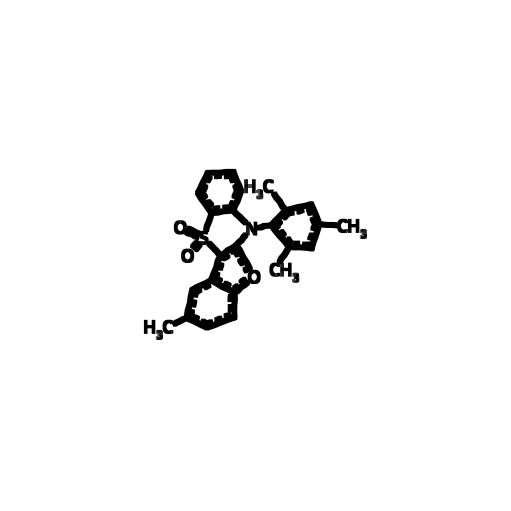 Cc1cc(C)c(N2c3ccccc3S(=O)(=O)c3c2oc2ccc(C)cc32)c(C)c1